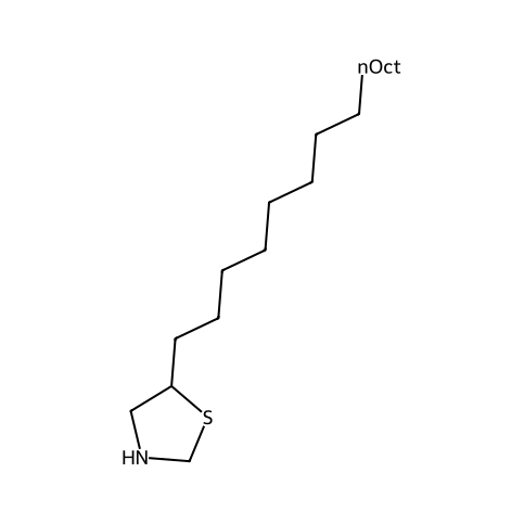 CCCCCCCCCCCCCCCCC1CNCS1